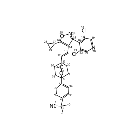 CC(C)(C#N)c1ccc(C23CCC(C=Cc4c(-c5c(Cl)cncc5Cl)noc4C4CC4)(CC2)CO3)cc1